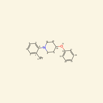 CC(C)c1ccccc1N1CCC(Oc2ccccc2)CC1